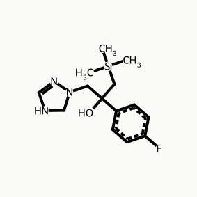 C[Si](C)(C)CC(O)(CN1CNC=N1)c1ccc(F)cc1